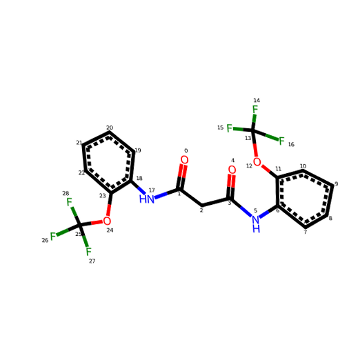 O=C(CC(=O)Nc1ccccc1OC(F)(F)F)Nc1ccccc1OC(F)(F)F